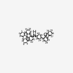 c1ccc2c(c1)-c1ccccc1C21c2ccccc2-c2c(Nc3ccc(-c4cccc5c4oc4ccccc45)cc3)cccc21